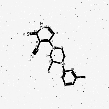 Cc1cccc(N2CCN(c3cc[nH]c(=S)c3C#N)CC2C)c1